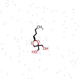 CCCC=C1OCC(CO)(CO)O1